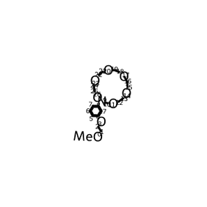 COCCOc1cccc(N2COCCOCCOCCOCCOCCO2)c1